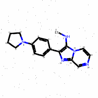 CCNc1c(-c2ccc(N3CCCC3)cc2)nc2cnccn12